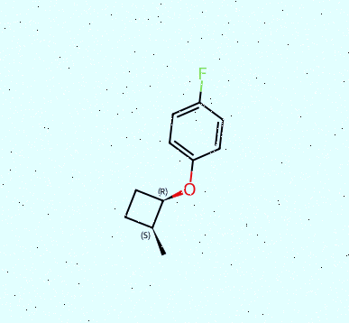 C[C@H]1CC[C@H]1Oc1ccc(F)cc1